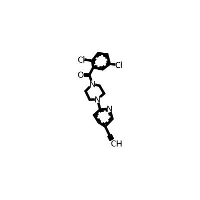 C#Cc1ccc(N2CCN(C(=O)c3cc(Cl)ccc3Cl)CC2)nc1